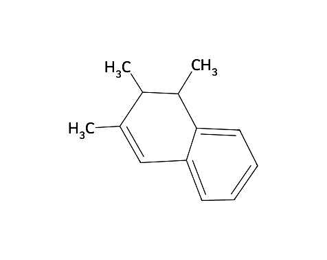 CC1=Cc2ccccc2C(C)C1C